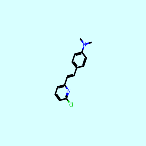 CN(C)c1ccc(C=Cc2cccc(Cl)n2)cc1